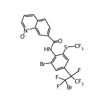 O=C(Nc1c(Br)cc(C(F)(C(F)(F)F)C(F)(F)Br)cc1SC(F)(F)F)c1ccc2ccc[n+]([O-])c2c1